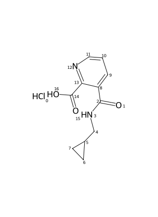 Cl.O=C(NCC1CC1)c1cccnc1C(=O)O